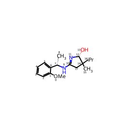 COc1ccccc1[C@H](C)NC1=N[C@H](O)C(C)(C(C)C)C1